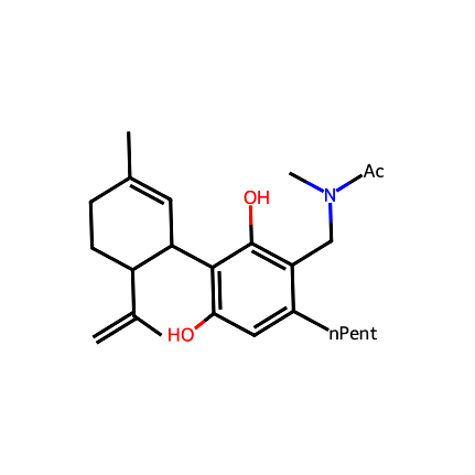 C=C(C)C1CCC(C)=CC1c1c(O)cc(CCCCC)c(CN(C)C(C)=O)c1O